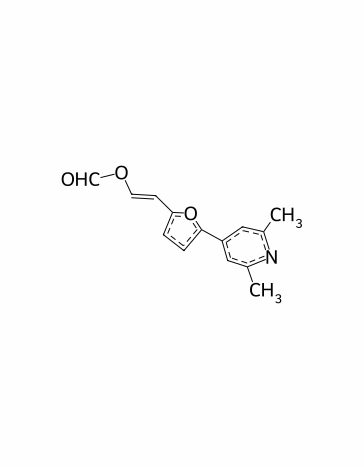 Cc1cc(-c2ccc(/C=C/OC=O)o2)cc(C)n1